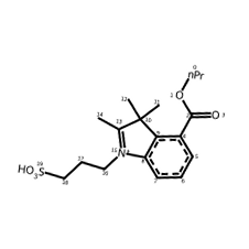 CCCOC(=O)c1cccc2c1C(C)(C)C(C)=[N+]2CCCS(=O)(=O)O